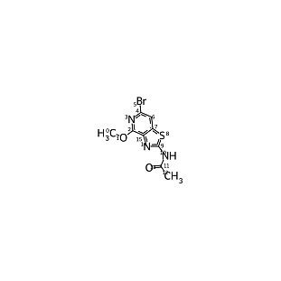 COc1nc(Br)cc2sc(NC(C)=O)nc12